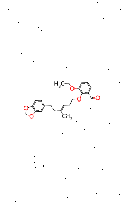 CCOc1cccc(C=O)c1OCCC=C(C)CCc1ccc2c(c1)OCO2